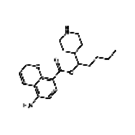 CCCCC(OC(=O)c1ccc(N)c2c1OCC=C2)C1CCNCC1